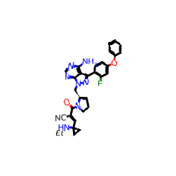 CCNC1(C=C(C#N)C(=O)N2CCC[C@@H]2Cn2nc(-c3ccc(Oc4ccccc4)cc3F)c3c(N)ncnc32)CC1